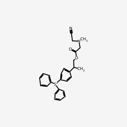 CC(COC(=O)CN(C)CC#N)c1ccc([S+](c2ccccc2)c2ccccc2)cc1